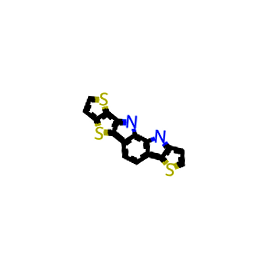 c1cc2c(s1)=c1ccc3c(c1N=2)N=c1c=3sc2ccsc12